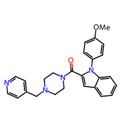 COc1ccc(-n2c(C(=O)N3CCN(Cc4ccncc4)CC3)cc3ccccc32)cc1